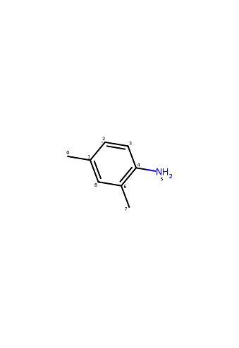 Cc1[c]cc(N)c(C)c1